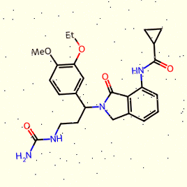 CCOc1cc(C(CCNC(N)=O)N2Cc3cccc(NC(=O)C4CC4)c3C2=O)ccc1OC